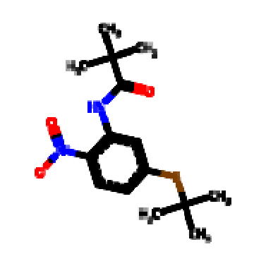 CC(C)(C)Sc1ccc([N+](=O)[O-])c(NC(=O)C(C)(C)C)c1